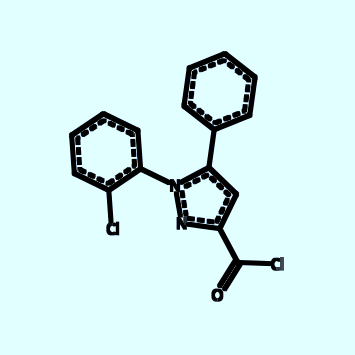 O=C(Cl)c1cc(-c2ccccc2)n(-c2ccccc2Cl)n1